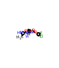 CC1CNCC(C(=O)N[C@@H]2C[C@H](NC(=O)COc3ccc(Cl)c(F)c3)C3CC2C3)C1